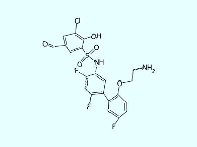 NCCOc1ccc(F)cc1-c1cc(NS(=O)(=O)c2cc(C=O)cc(Cl)c2O)c(F)cc1F